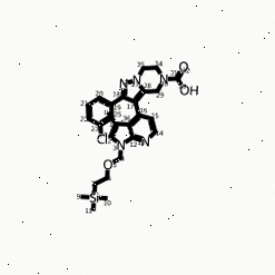 Cc1cn(COCC[Si](C)(C)C)c2nccc(-c3c(-c4cccc(Cl)c4)nn4c3CN(C(=O)O)CC4)c12